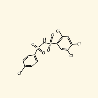 O=S(=O)(NS(=O)(=O)c1cc(Cl)c(Cl)cc1Cl)c1ccc(Cl)cc1